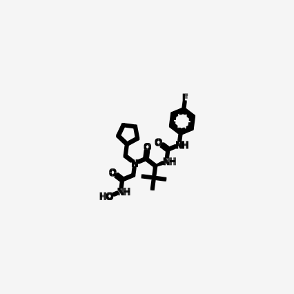 CC(C)(C)[C@H](NC(=O)Nc1ccc(F)cc1)C(=O)N(CC(=O)NO)CC1CCCC1